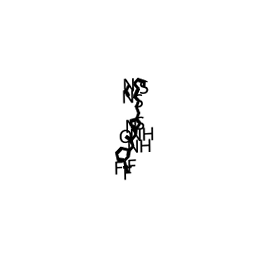 O=C(Nc1cccc(C(F)(F)F)c1)Nc1ncc(CCSc2ncnc3ccsc23)s1